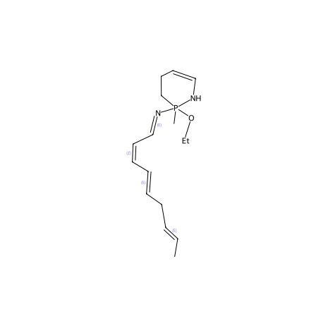 C/C=C/C/C=C/C=C\C=N\P1(C)(OCC)CCC=CN1